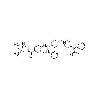 CC(C)(CO)CNC(=O)c1ccc2c(c1)CN(c1ccccc1)C(c1ccc(CN3CCC(n4c(=O)[nH]c5ccccc54)CC3)cc1)=N2